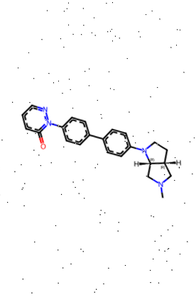 CN1C[C@H]2CCN(c3ccc(-c4ccc(-n5ncccc5=O)cc4)cc3)[C@H]2C1